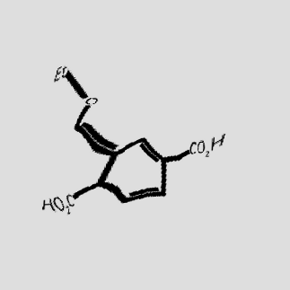 CCOC=C1C=C(C(=O)O)C=CC1C(=O)O